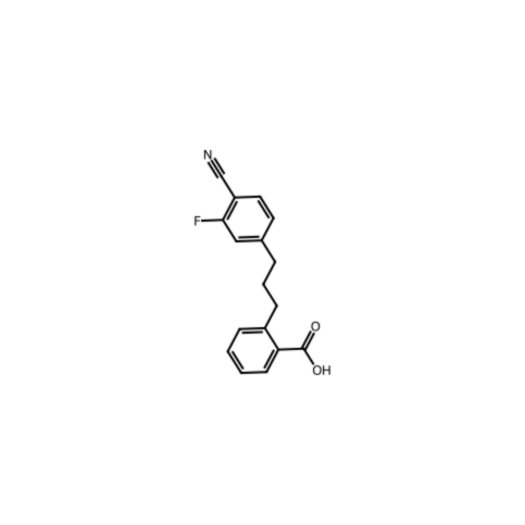 N#Cc1ccc(CCCc2ccccc2C(=O)O)cc1F